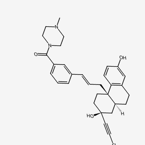 CN1CCN(C(=O)c2cccc(/C=C/C[C@]34CC[C@@](O)(C#CCl)C[C@@H]3CCc3cc(O)ccc34)c2)CC1